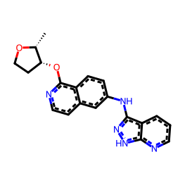 C[C@H]1OCC[C@H]1Oc1nccc2cc(Nc3n[nH]c4ncccc34)ccc12